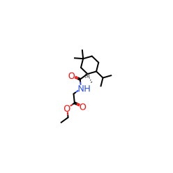 CCOC(=O)CNC(=O)[C@@]1(C)CC(C)(C)CCC1C(C)C